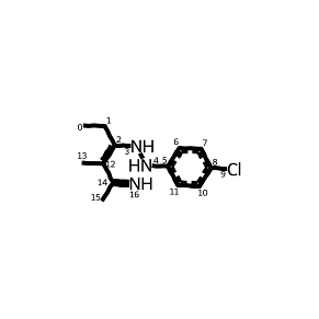 CCC(NNc1ccc(Cl)cc1)=C(C)C(C)=N